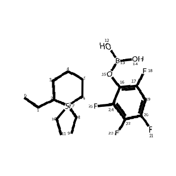 CCC1CCCC[Si]1(CC)CC.OB(O)Oc1c(F)cc(F)c(F)c1F